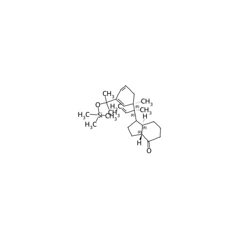 C=C[C@](C)(C1CC[C@H]2C(=O)CCC[C@H]12)[C@@]1(C)C=C(C(C)(C)O[Si](C)(C)C)C=CC1